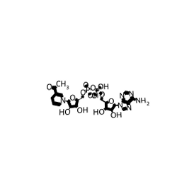 CC(=O)C1=CN([C@@H]2O[C@H](COP(=O)(O)OP(=O)(O)OC[C@H]3O[C@@H](n4cnc5c(N)ncnc54)[C@@H](O)C3O)C(O)[C@@H]2O)C=CC1